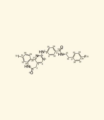 O=C1Cc2cnc(Nc3ccc(C(=O)NCCc4ccc(F)cc4)cc3)nc2-c2ccc(I)cc2N1